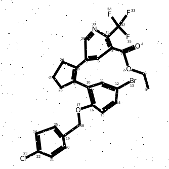 CCOC(=O)c1cc(C2=C(c3cc(Br)ccc3OCc3ccc(Cl)cc3)CCC2)cnc1C(F)(F)F